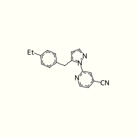 CCc1ccc(Cc2ccnn2-c2cc(C#N)ccn2)cc1